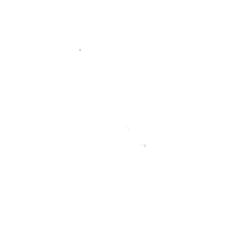 CC(C)CCOc1c(Cl)cc(-c2csc(NC(=O)CBr)n2)cc1Cl